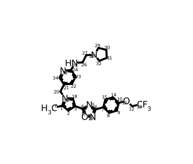 Cc1cc(-c2nc(-c3ccc(OCC(F)(F)F)cc3)no2)cn1Cc1ccc(NCCN2CCCC2)nc1